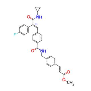 COC(=O)C=Cc1ccc(CNC(=O)c2ccc(/C=C(/C(=O)NC3CC3)c3ccc(F)cc3)cc2)cc1